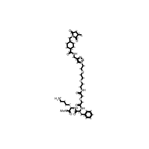 CNC(=O)[C@H](CCCCN)NC(=O)[C@H](Cc1ccccc1)NC(=O)COCC(=O)NCCOCCOCCn1cc(CNC(=O)C2CCC(CN3C(=O)CC(C)C3=O)CC2)nn1